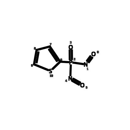 O=NP(=O)(N=O)c1cccs1